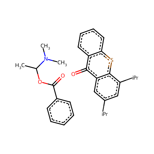 CC(C)c1cc(C(C)C)c2sc3ccccc3c(=O)c2c1.CC(OC(=O)c1ccccc1)N(C)C